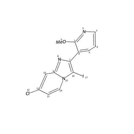 COc1ncccc1-c1nc2cc(Cl)ccn2c1I